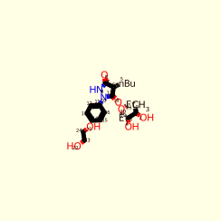 CC(O)CO.CCCCC1C(=O)NN(c2ccccc2)C1=O.CCOCC.OCCO